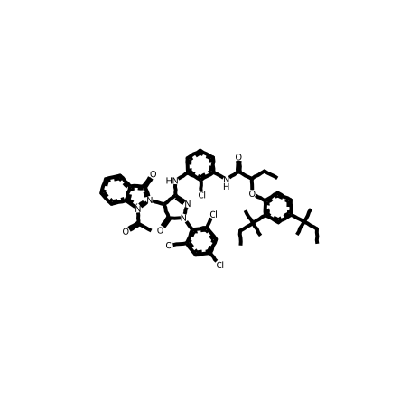 CCC(Oc1ccc(C(C)(C)CC)cc1C(C)(C)CC)C(=O)Nc1cccc(NC2=NN(c3c(Cl)cc(Cl)cc3Cl)C(=O)C2n2c(=O)c3ccccc3n2C(C)=O)c1Cl